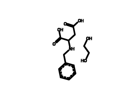 O=C(O)CC(NCc1ccccc1)C(=O)O.OCCO